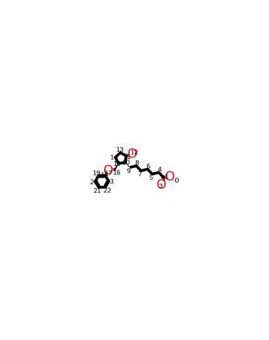 COC(=O)CCCCCC[C@H]1C(=O)CC[C@@H]1COc1ccccc1